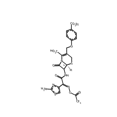 CCOC(=O)c1ccc(OCC2=C(C(=O)O)N3C(=O)C(NC(=O)C(=NOC(=O)C(F)(F)F)c4csc(N)n4)[C@@H]3SC2)cc1